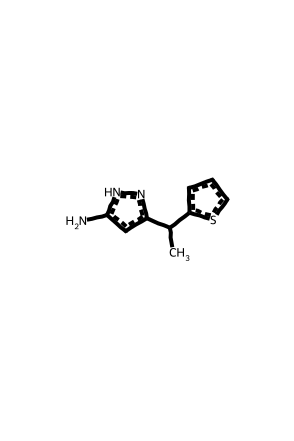 CC(c1cc(N)[nH]n1)c1cccs1